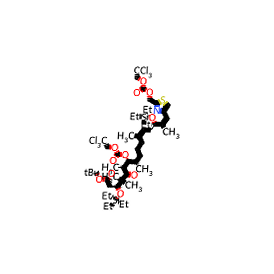 CC[Si](CC)(CC)O[C@@H](CC=C(C)CCC[C@H](C)[C@H](OC(=O)OCC(Cl)(Cl)Cl)[C@@H](C)C(=O)C(C)(C)[C@H](CC(=O)OC(C)(C)C)O[Si](CC)(CC)CC)C(C)=Cc1csc(COC(=O)OCC(Cl)(Cl)Cl)n1